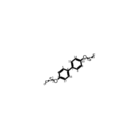 FSOc1ccc(-c2ccc(OSF)cc2)cc1